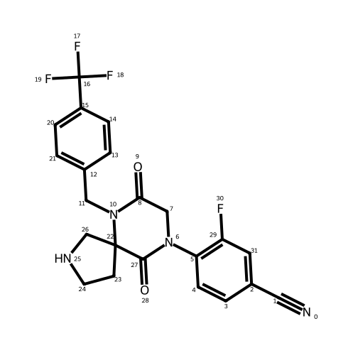 N#Cc1ccc(N2CC(=O)N(Cc3ccc(C(F)(F)F)cc3)C3(CCNC3)C2=O)c(F)c1